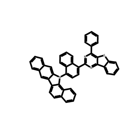 c1ccc(-c2nc(-c3ccc(-n4c5cc6ccccc6cc5c5ccc6ccccc6c54)c4ccccc34)nc3c2sc2ccccc23)cc1